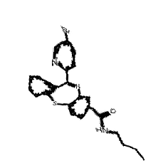 CCCCNC(=O)c1ccc2c(c1)N=C(c1ccc(Br)cn1)c1ccccc1S2